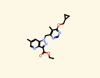 CCOC(=O)c1nn(Cc2ncnc(OCC3CC3)c2C)c2cc(C)cnc12